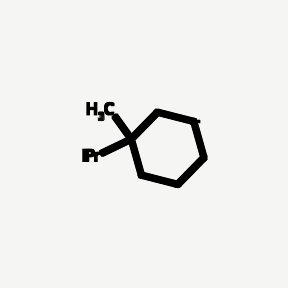 CC(C)C1(C)C[CH]CCC1